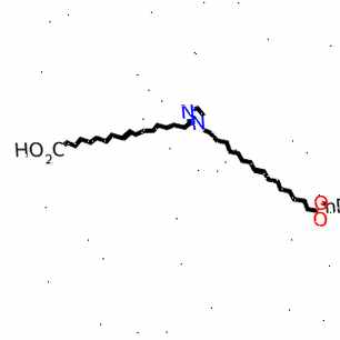 CCCCCCCCCCOC(=O)CCCCCCCC=CCCCCCCCCN1CCN=C1CCCCCCCC=CCCCCCCCC(=O)O